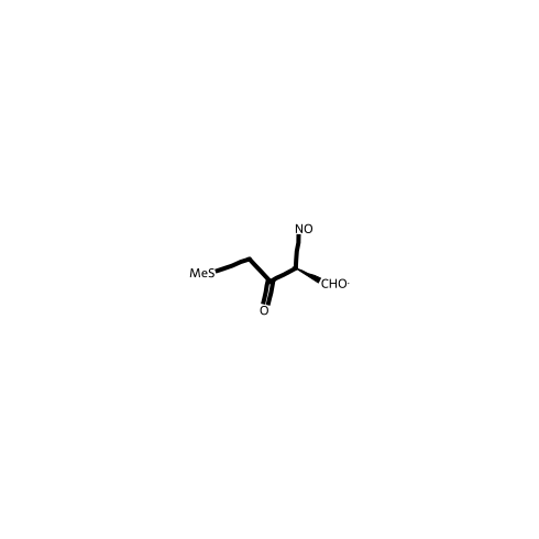 CSCC(=O)[C@H]([C]=O)N=O